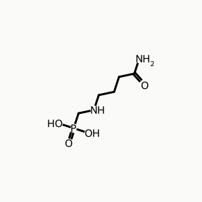 NC(=O)CCCNCP(=O)(O)O